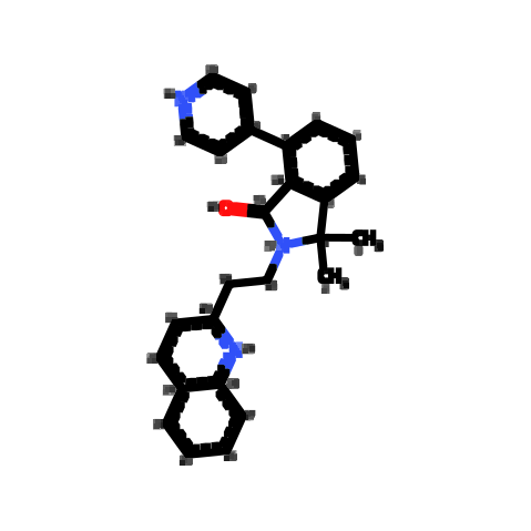 CC1(C)c2cccc(-c3ccncc3)c2C(=O)N1CCc1ccc2ccccc2n1